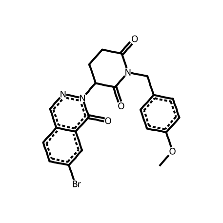 COc1ccc(CN2C(=O)CCC(n3ncc4ccc(Br)cc4c3=O)C2=O)cc1